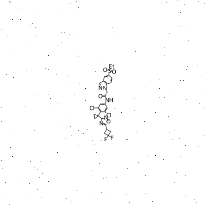 CCS(=O)(=O)c1ccc2c(cnn2CC(=O)Nc2cc(Cl)c(C3(c4noc(C5CC(F)(F)C5)n4)CC3)c(Cl)c2)c1